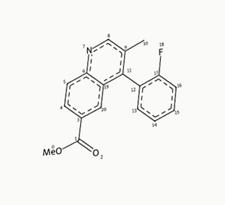 COC(=O)c1ccc2ncc(C)c(-c3ccccc3F)c2c1